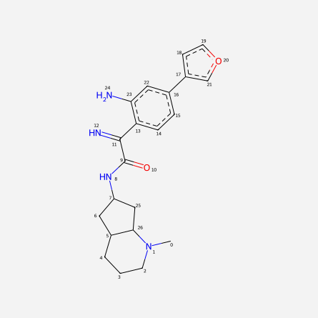 CN1CCCC2CC(NC(=O)C(=N)c3ccc(-c4ccoc4)cc3N)CC21